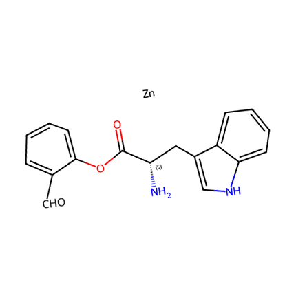 N[C@@H](Cc1c[nH]c2ccccc12)C(=O)Oc1ccccc1C=O.[Zn]